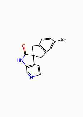 CC(=O)c1ccc2c(c1)CC1(C2)C(=O)Nc2cnccc21